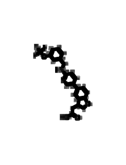 O=C(O)CC1COc2ccc(-c3ccc(NCc4cccc(OC(F)(F)F)c4)nc3)cc21